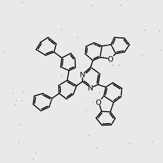 c1ccc(-c2cccc(-c3cc(-c4ccccc4)ccc3-c3nc(-c4cccc5c4oc4ccccc45)cc(-c4cccc5c4oc4ccccc45)n3)c2)cc1